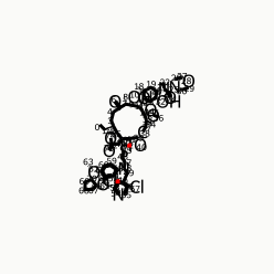 CC[C@H]1CCC(=O)[C@H](C)[C@@H](O)[C@H](C)[C@@H](OC2O[C@H](C)C[C@H](N(C)C(=O)N3CCOCC3)[C@H]2O)[C@](C)(OC)CCC(=O)[C@H](C)[C@H]2[C@H](SCCN(Cc3c(Cl)cncc3Cl)c3ccc(OC)c(OC4CCCC4)c3)C(=O)O[C@]12C